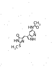 CSC1=N/C(=C\c2c[nH]c3ncc(NC(C)=O)cc23)C(=O)N1